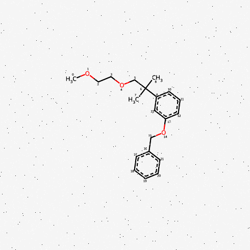 COCCOCC(C)(C)c1cccc(OCc2ccccc2)c1